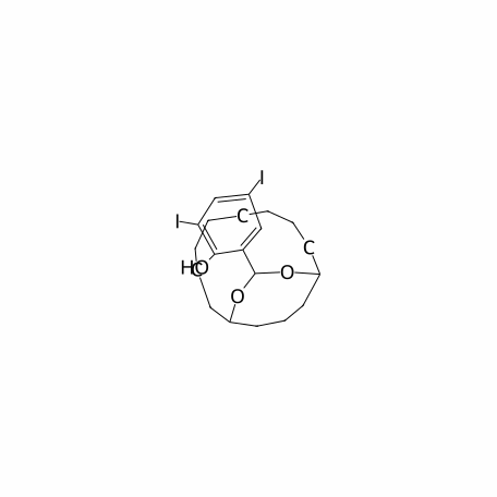 Oc1c(I)cc(I)cc1C1OC2CCCCCCCCC(CCC2)O1